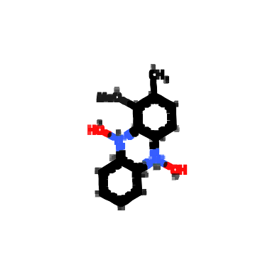 COc1c(C)ccc2c1[n+](O)c1ccccc1[n+]2O